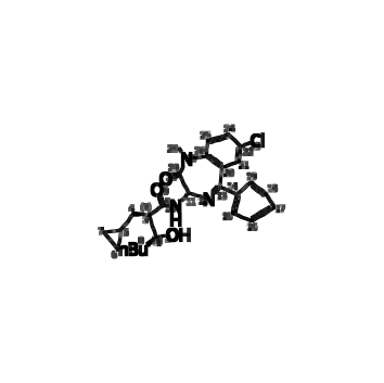 CCCC[C@H](O)[C@@H](CC1CC1)C(=O)NC1N=C(c2ccccc2)c2cc(Cl)ccc2N(C)C1=O